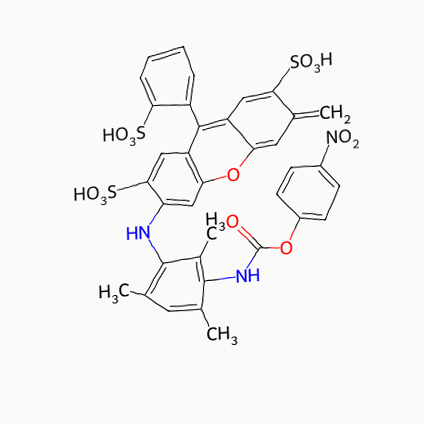 C=c1cc2c(cc1S(=O)(=O)O)=C(c1ccccc1S(=O)(=O)O)c1cc(S(=O)(=O)O)c(Nc3c(C)cc(C)c(NC(=O)Oc4ccc([N+](=O)[O-])cc4)c3C)cc1O2